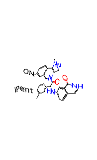 CCC[C@H](C)c1ccc(C(Nc2ccc3cc[nH]c(=O)c3c2)C(=O)N(C)Cc2cc(N=O)ccc2-c2ccnn2C)cc1C